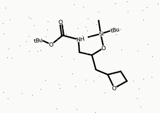 CC(C)(C)OC(=O)NCC(CC1CCO1)O[Si](C)(C)C(C)(C)C